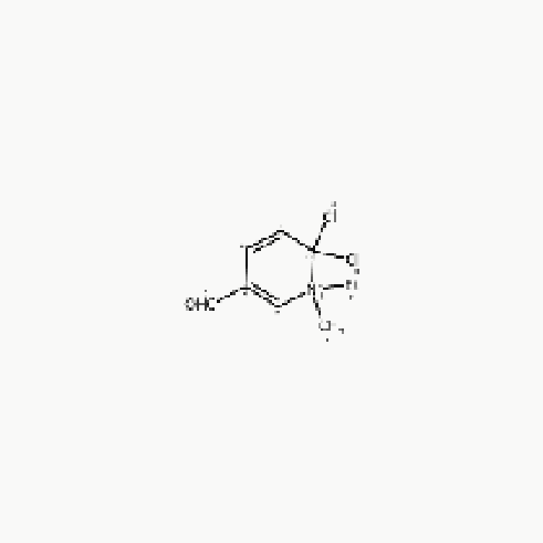 CC[N+]1(C)C=C([C]=O)C=CC1(Cl)Cl